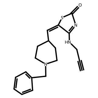 C#CCNC1=NC(=O)SC1=CC1CCN(Cc2ccccc2)CC1